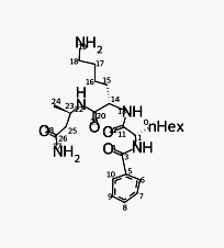 CCCCCC[C@H](NC(=O)c1ccccc1)C(=O)N[C@@H](CCCCN)C(=O)N[C@H](C)CC(N)=O